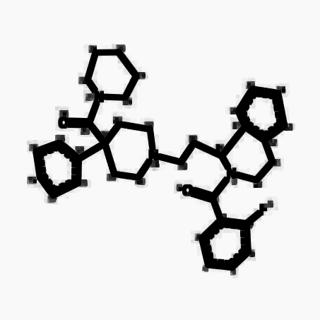 O=C(c1ccccc1F)N1CCc2ccccc2C1CCN1CCC(C(=O)N2CCCCC2)(c2ccccc2)CC1